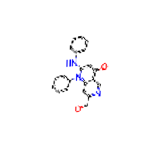 O=Cc1cc2c(cn1)c(=O)cc(Nc1ccccc1)n2-c1ccccc1